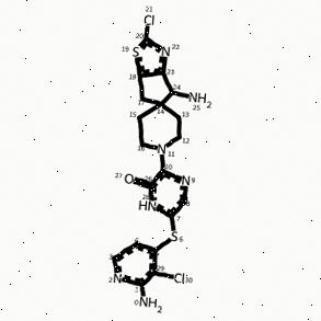 Nc1nccc(Sc2cnc(N3CCC4(CC3)Cc3sc(Cl)nc3C4N)c(=O)[nH]2)c1Cl